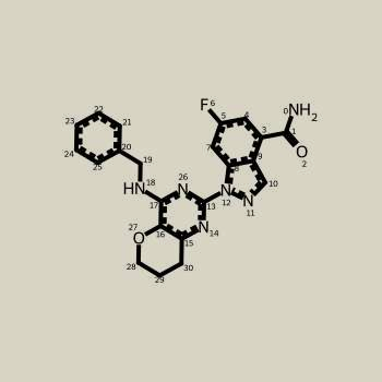 NC(=O)c1cc(F)cc2c1cnn2-c1nc2c(c(NCc3ccccc3)n1)OCCC2